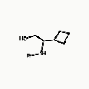 CCNC(CO)C1CCC1